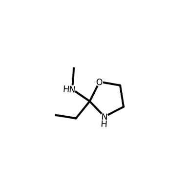 CCC1(NC)NCCO1